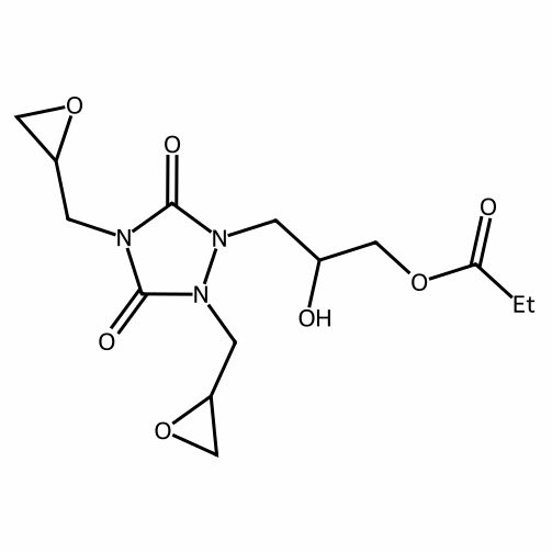 CCC(=O)OCC(O)Cn1c(=O)n(CC2CO2)c(=O)n1CC1CO1